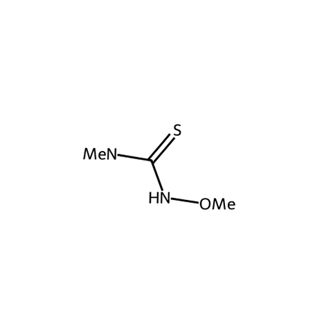 CNC(=S)NOC